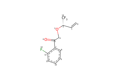 C=C[C@H](OCC(=O)c1ccccc1F)C(F)(F)F